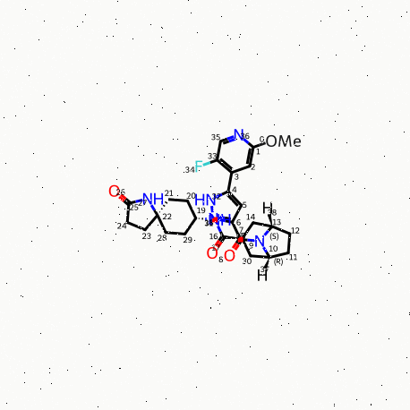 COc1cc(-c2cc(C(=O)N3[C@@H]4CC[C@H]3C[C@H](C(=O)N[C@H]3CC[C@@]5(CCC(=O)N5)CC3)C4)n[nH]2)c(F)cn1